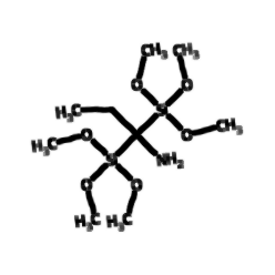 CCC(N)([Si](OC)(OC)OC)[Si](OC)(OC)OC